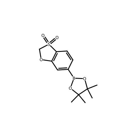 CC1(C)OB(c2ccc3c(c2)OCS3(=O)=O)OC1(C)C